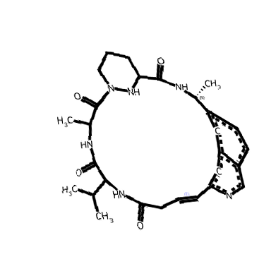 CC1NC(=O)C(C(C)C)NC(=O)C/C=C/c2cc3cc(ccc3cn2)[C@@H](C)NC(=O)C2CCCN(N2)C1=O